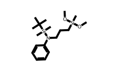 CO[Si](C)(CCCN(c1ccccc1)[Si](C)(C)C(C)(C)C)OC